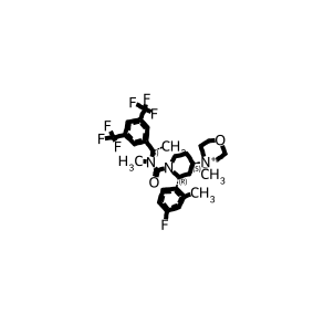 Cc1cc(F)ccc1[C@H]1C[C@@H]([N+]2(C)CCOCC2)CCN1C(=O)N(C)[C@@H](C)c1cc(C(F)(F)F)cc(C(F)(F)F)c1